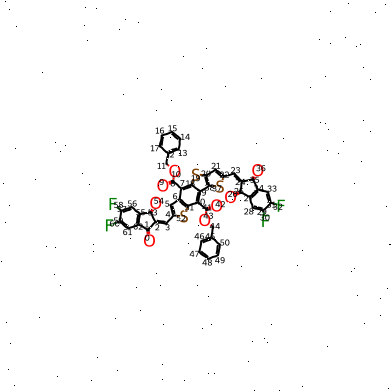 O=C1C(=Cc2cc3c(C(=O)OCc4ccccc4)c4sc5cc(C=C6C(=O)c7cc(F)c(F)cc7C6=O)sc5c4c(C(=O)OCc4ccccc4)c3s2)C(=O)c2cc(F)c(F)cc21